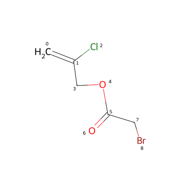 C=C(Cl)COC(=O)CBr